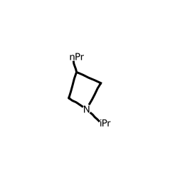 CCCC1CN(C(C)C)C1